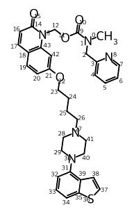 CN(Cc1ccccn1)C(=O)OCn1c(=O)ccc2ccc(OCCCCN3CCN(c4cccc5sccc45)CC3)cc21